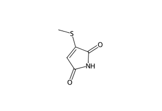 CSC1=CC(=O)NC1=O